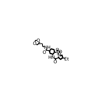 CCc1cc2n(c1)S(=O)(=O)c1ccc(C(=O)NCC[C@H]3COCO3)cc1NC2=O